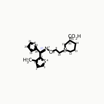 Cc1ccsc1/C(=N\OCCN1CCC[C@@H](C(=O)O)C1)c1cccs1